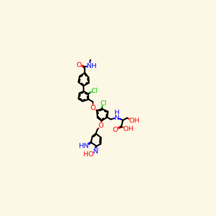 CNC(=O)c1ccc(-c2cccc(COc3cc(OCC4=CC(=N)/C(=N\O)C=C4)c(CNC(CO)C(=O)O)cc3Cl)c2Cl)cc1